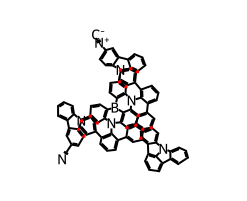 [C-]#[N+]c1ccc2c(c1)c1ccccc1n2-c1ccc2c(c1)N(c1c(-c3ccccc3)cccc1-c1ccccc1)c1cc(-c3ccc4c(c3)c3cccc5c6ccccc6n4c53)cc3c1B2c1ccc(-n2c4ccccc4c4cc(C#N)ccc42)cc1N3c1c(-c2ccccc2)cccc1-c1ccccc1